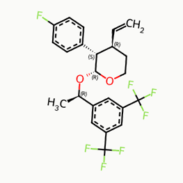 C=C[C@H]1CCO[C@H](O[C@H](C)c2cc(C(F)(F)F)cc(C(F)(F)F)c2)[C@@H]1c1ccc(F)cc1